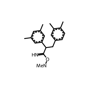 CNOC(=N)C(Cc1ccc(C)c(C)c1)c1cc(C)cc(C)c1